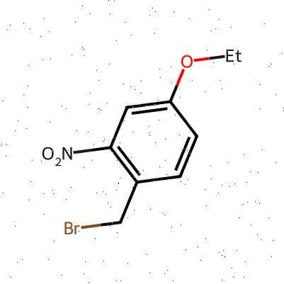 CCOc1ccc(CBr)c([N+](=O)[O-])c1